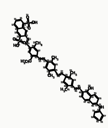 COc1cc(N=Nc2cc3c(S(=O)(=O)O)cccc3cc2S(=O)(=O)O)c(C)cc1N=Nc1cc(C)c(N=Nc2cc(C)c(N=Nc3ccc4cc(Nc5ccccc5)ccc4c3O)cc2C)cc1C